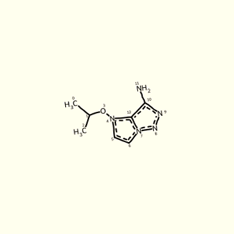 CC(C)On1ccn2nnc(N)c12